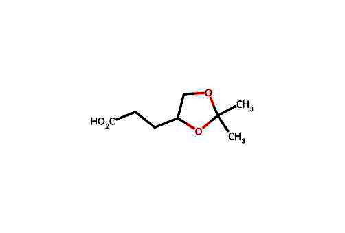 CC1(C)OCC(CCC(=O)O)O1